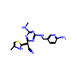 CNc1nc(NCc2ccc(N)nc2)nc(/C(C#N)=C2/NC(C)=CS2)n1